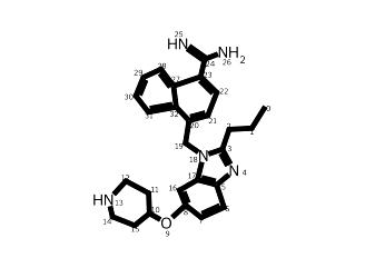 CCCc1nc2ccc(OC3CCNCC3)cc2n1Cc1ccc(C(=N)N)c2ccccc12